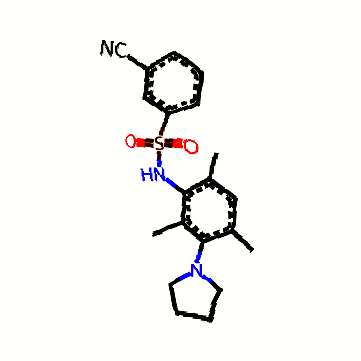 Cc1cc(C)c(N2CCCC2)c(C)c1NS(=O)(=O)c1cccc(C#N)c1